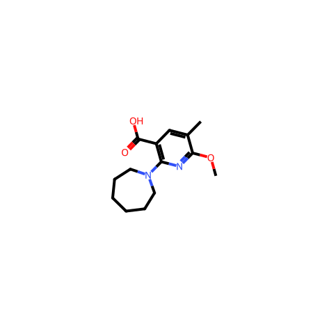 COc1nc(N2CCCCCC2)c(C(=O)O)cc1C